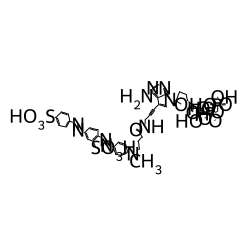 CN(CCCC(=O)NCC#Cc1cn([C@@H]2CC[C@@H](COP(=O)(O)OP(=O)(O)OP(=O)(O)O)O2)c2ncnc(N)c12)c1ccc(N=Nc2ccc(N=Nc3ccc(S(=O)(=O)O)cc3)cc2S(=O)(=O)O)cc1